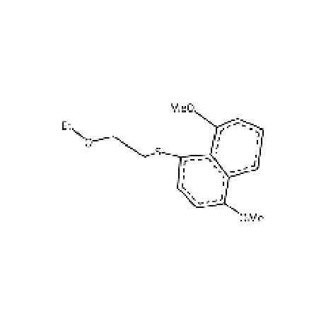 CCOCCSc1ccc(OC)c2cccc(OC)c12